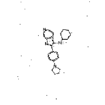 c1cn2c(NC3CCCCC3)c(-c3ccc(N4CCCC4)cc3)nc2cn1